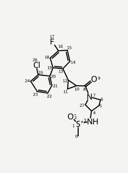 C[S+]([O-])NC1CCN(C(=O)C2CC2c2ccc(F)cc2-c2ccccc2Cl)C1